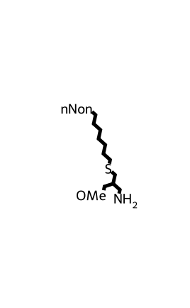 CCCCCCCCCCCCCCCCSCC(CN)COC